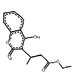 CCOC(=O)CC(C)c1c(O)c2ccccc2oc1=O